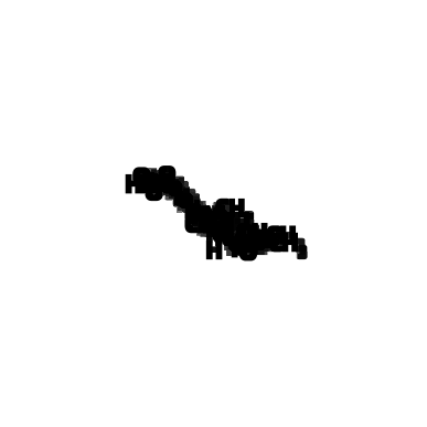 C=CC(=O)Nc1cc(Nc2nc(-c3ccnc(N4CCn5c(cc6c5CC(C)(C)C6)C4=O)c3CO)cn(C)c2=O)ccc1N1CCN(C2CCN(c3ccc4c(c3)CN(C3CCC(=O)NC3=O)C4=O)CC2)C[C@@H]1C